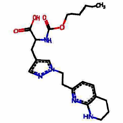 CCCCOC(=O)NC(Cc1cnn(CCc2ccc3c(n2)NCCC3)c1)C(=O)O